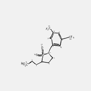 O=C(O)CCC1CCN(c2cc(C(F)(F)F)cc(C(F)(F)F)c2)S1(=O)=O